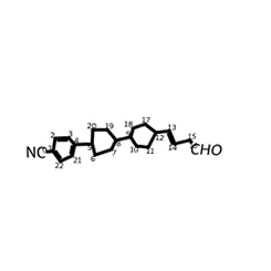 N#Cc1ccc(C2CCC(C3CCC(C=CCC=O)CC3)CC2)cc1